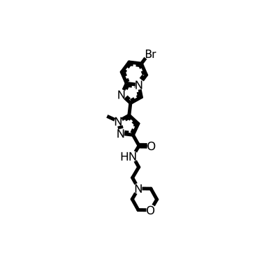 Cn1nc(C(=O)NCCN2CCOCC2)cc1-c1cn2cc(Br)ccc2n1